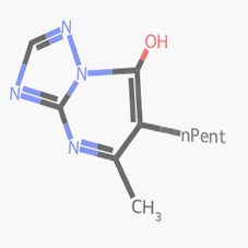 CCCCCc1c(C)nc2ncnn2c1O